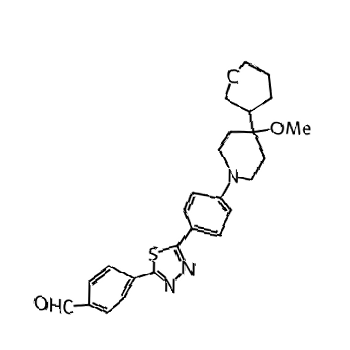 COC1(C2CCCCC2)CCN(c2ccc(-c3nnc(-c4ccc(C=O)cc4)s3)cc2)CC1